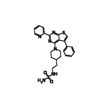 NS(=O)(=O)NCCC1CCN(c2nc(-c3ccccn3)nc3scc(-c4ccccc4)c23)CC1